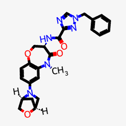 CN1C(=O)[C@@H](NC(=O)c2ncn(Cc3ccccc3)n2)COc2ccc(N3C[C@@H]4C[C@H]3CO4)cc21